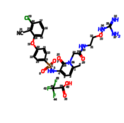 Cc1ccc(NS(=O)(=O)c2ccc(Oc3cccc(Cl)c3C#N)cc2)c(=O)n1CC(=O)NCCONC(=N)N.O=C(O)C(F)(F)F